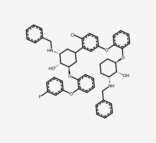 O[C@@H]1[C@H](NCc2ccccc2)CCC[C@H]1Oc1ccccc1Oc1ccc(Cl)c(C2C[C@@H](NCc3ccccc3)[C@@H](O)[C@H](Oc3ccccc3Oc3cccc(F)c3)C2)c1